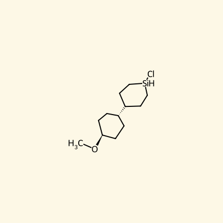 CO[C@H]1CC[C@H](C2CC[SiH](Cl)CC2)CC1